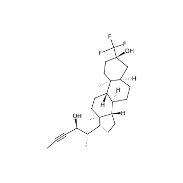 CC#C[C@@H](O)[C@@H](C)[C@H]1CC[C@H]2[C@@H]3CC[C@@H]4C[C@@](O)(C(F)(F)F)CC[C@]4(C)[C@H]3CC[C@]12C